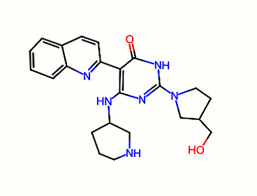 O=c1[nH]c(N2CCC(CO)C2)nc(NC2CCCNC2)c1-c1ccc2ccccc2n1